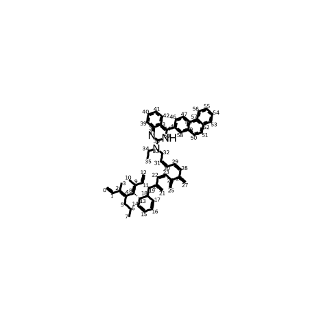 C=C/C(C)=C(CCC)/C(=C(\C)C=C)[C@H]1C=CC=CC1CC(=C)/C=C\C(=C)C(=C)/C=C\C=C/CN(CC)[C@H]1N=c2ccccc2=C(c2ccc3c(ccc4ccccc43)c2)N1